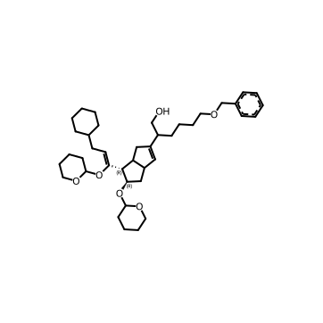 OCC(CCCCOCc1ccccc1)C1=CC2C[C@@H](OC3CCCCO3)[C@H](C(=CCC3CCCCC3)OC3CCCCO3)C2C1